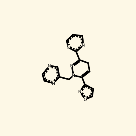 C1=C(c2ccon2)N(Cc2cnccn2)N=C(c2ncccn2)C1